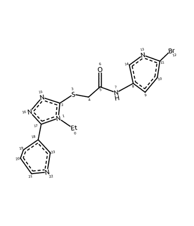 CCn1c(SCC(=O)Nc2ccc(Br)nc2)nnc1-c1cccnc1